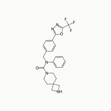 O=C(N1CCC2(CC1)CNC2)N(Cc1ccc(-c2nnc(C(F)(F)F)o2)cc1)c1ccccc1